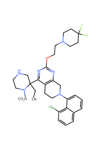 N#CCC1(c2nc(OCCN3CCC(F)(F)CC3)nc3c2CCN(c2cccc4cccc(Cl)c24)C3)CNCCN1C(=O)O